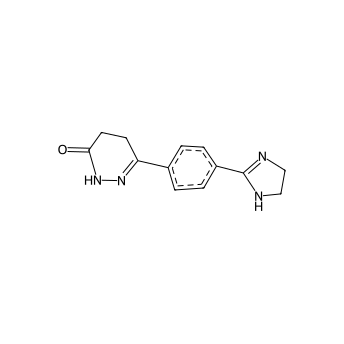 O=C1CCC(c2ccc(C3=NCCN3)cc2)=NN1